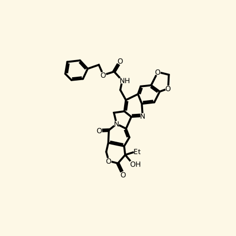 CCC1(O)C(=O)OCc2c1cc1n(c2=O)Cc2c-1nc1cc3c(cc1c2CNC(=O)OCc1ccccc1)OCO3